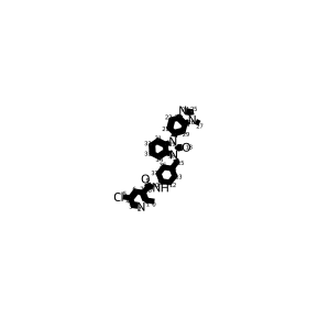 Cc1ncc(Cl)cc1C(=O)NC1CCC(Cn2c(=O)n(-c3ccc4ncn(C)c4c3)c3ccccc32)CC1